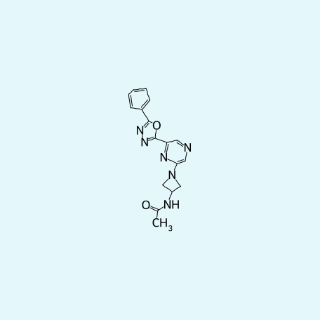 CC(=O)NC1CN(c2cncc(-c3nnc(-c4ccccc4)o3)n2)C1